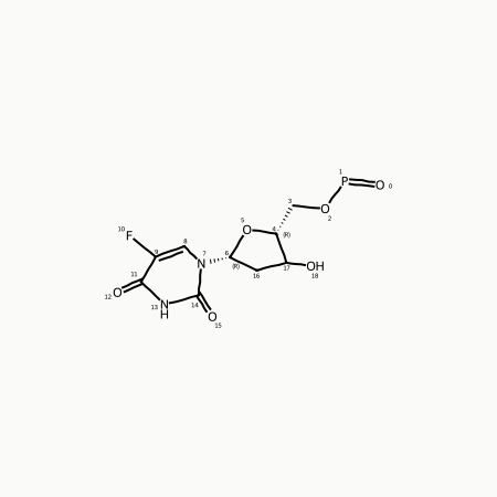 O=POC[C@H]1O[C@@H](n2cc(F)c(=O)[nH]c2=O)CC1O